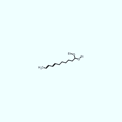 CC=CC=CCCCCCC(OCC)OCC